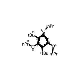 CCCOc1cc(OCCC)c(C(C)(C)C)c(OCCC)c1C(C)(C)C